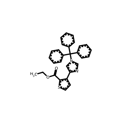 CCOC(=O)c1sccc1-c1cn(C(c2ccccc2)(c2ccccc2)c2ccccc2)cn1